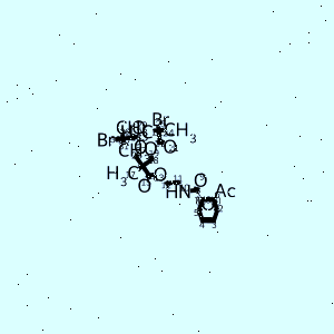 CC(=O)[C@@H]1C2C=CC(O2)[C@@H]1C(=O)NCCOC(=O)C(C)(COC(=O)C(C)(C)Br)COC(=O)C(C)(C)Br